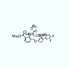 CCOC(=O)CN(Nc1c(COc2ccc(-c3cc(F)c(F)cc3OC)cc2)cccc1C(=O)OC)C(=O)OC(C)(C)C